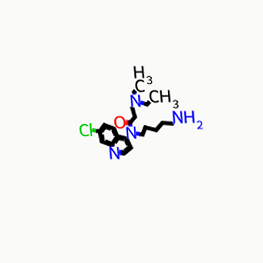 CCN(CC)CCC(=O)N(CCCCCN)c1ccnc2cc(Cl)ccc12